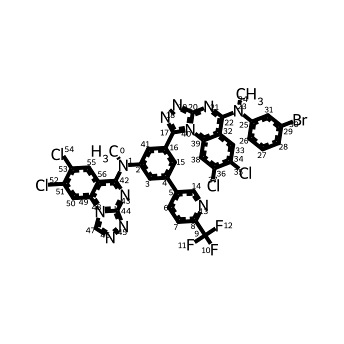 CN(c1cc(-c2ccc(C(F)(F)F)nc2)cc(-c2nnc3nc(N(C)c4cccc(Br)c4)c4cc(Cl)c(Cl)cc4n23)c1)c1nc2nncn2c2cc(Cl)c(Cl)cc12